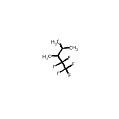 CC(C)C(C)C(F)(F)C(F)(F)F